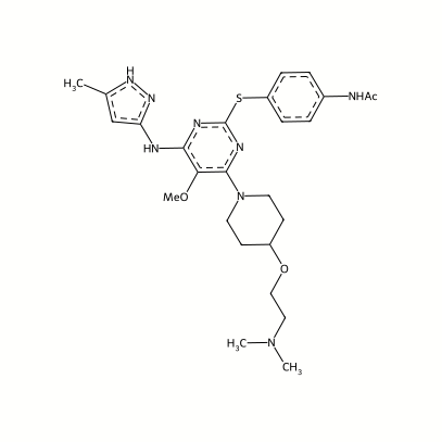 COc1c(Nc2cc(C)[nH]n2)nc(Sc2ccc(NC(C)=O)cc2)nc1N1CCC(OCCN(C)C)CC1